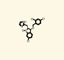 [O-][S+]1c2cc(Cl)ccc2[C@H](OCc2ccc(Cl)cc2Cl)[C@@H]1Cc1ncc[nH]1